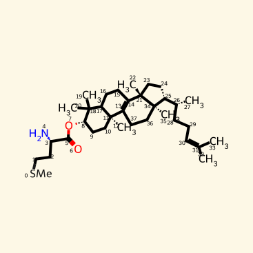 CSCC[C@H](N)C(=O)O[C@H]1CC[C@]2(C)C3=C(CCC2C1(C)C)[C@]1(C)CC[C@H]([C@H](C)CCC=C(C)C)[C@@]1(C)CC3